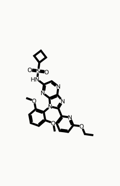 CCOc1cccc(-c2nc3ncc(NS(=O)(=O)C4CCC4)nc3n2-c2c(OC)cccc2OC)n1